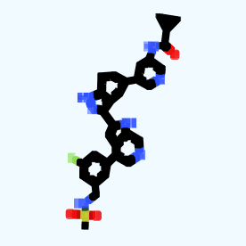 CS(=O)(=O)NCc1cc(F)cc(-c2cncc3[nH]c(-c4n[nH]c5ccc(-c6cncc(NC(=O)C7CC7)c6)cc45)cc23)c1